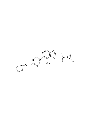 COc1c(-c2cnc(COC3CCCC3)nc2)ccc2nc(NC(=O)C3CC3F)sc12